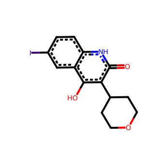 O=c1[nH]c2ccc(I)cc2c(O)c1C1CCOCC1